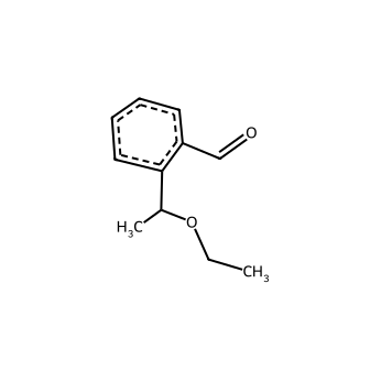 CCOC(C)c1ccccc1C=O